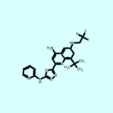 CC(C)(C)C1=c2nc(-c3nnc(Nc4ccccn4)o3)cc(N)c2=CC(NCC(F)(F)F)C1